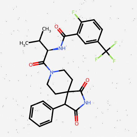 CC(C)[C@@H](NC(=O)c1cc(C(F)(F)F)ccc1F)C(=O)N1CCC2(CC1)C(=O)NC(=O)C2c1ccccc1